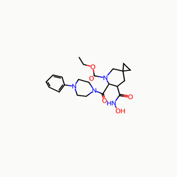 CCOC(=O)N1CC2(CC2)CC(C(=O)NO)C1C(=O)N1CCN(c2ccccc2)CC1